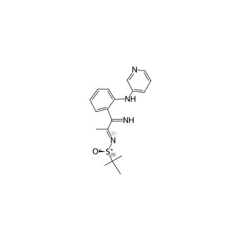 C/C(=N\[S@+]([O-])C(C)(C)C)C(=N)c1ccccc1Nc1cccnc1